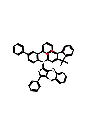 CC1(C)c2ccccc2-c2ccc(N(c3ccc(-c4ccccc4)cc3-c3ccccc3)c3sc(-c4ccccc4)c4c3Oc3ccccc3O4)cc21